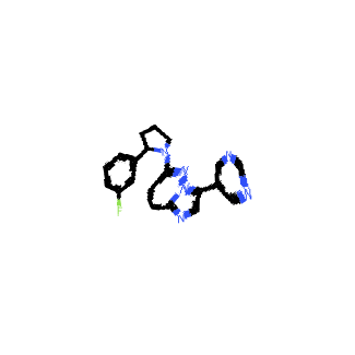 Fc1cccc(C2CCCN2c2ccc3ncc(-c4cncnc4)n3n2)c1